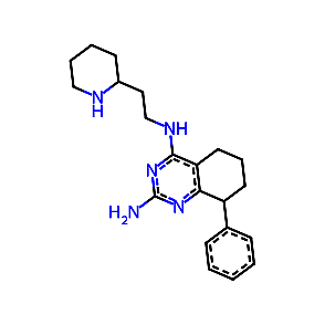 Nc1nc(NCCC2CCCCN2)c2c(n1)C(c1ccccc1)CCC2